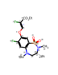 CCOC(=O)/C(F)=C/Oc1cc2c(cc1F)N(C(C)(C)C)C[C@@H](C(C)C)N(C)S2(=O)=O